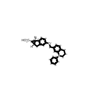 O=C(O)[C@H]1[C@@H]2Cc3cc(OCc4ccc5c(c4)N(c4ccccc4)CCC5)ccc3[C@@H]21